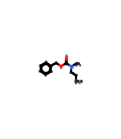 CN(CCC(=O)O)C(=O)OCc1ccccc1